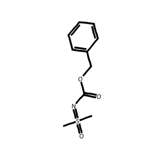 CS(C)(=O)=NC(=O)OCc1ccccc1